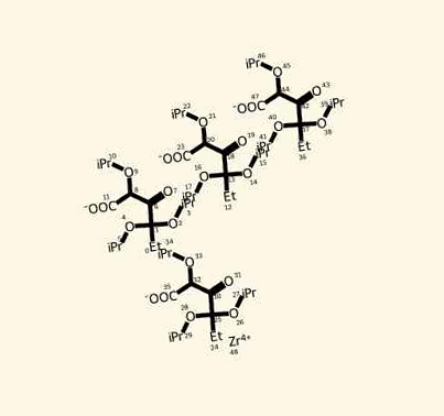 CCC(OC(C)C)(OC(C)C)C(=O)C(OC(C)C)C(=O)[O-].CCC(OC(C)C)(OC(C)C)C(=O)C(OC(C)C)C(=O)[O-].CCC(OC(C)C)(OC(C)C)C(=O)C(OC(C)C)C(=O)[O-].CCC(OC(C)C)(OC(C)C)C(=O)C(OC(C)C)C(=O)[O-].[Zr+4]